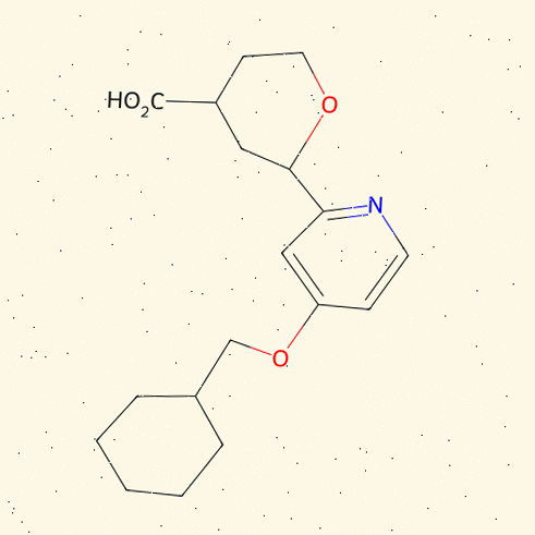 O=C(O)C1CCOC(c2cc(OCC3CCCCC3)ccn2)C1